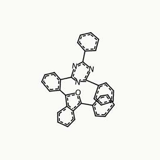 c1ccc(-c2nc(-c3ccccc3)nc(-c3ccccc3-c3oc(-c4ccccc4)c4ccccc34)n2)cc1